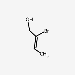 C/C=C(\Br)CO